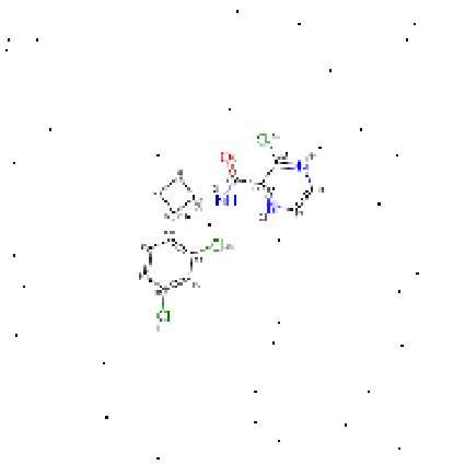 O=C(N[C@H]1CC[C@H]1c1ccc(Cl)cc1Cl)c1nccnc1Cl